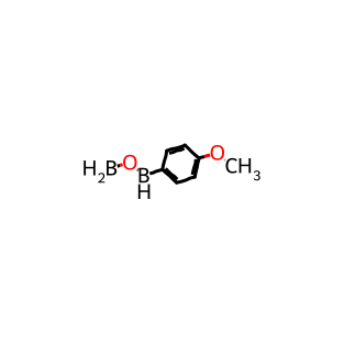 BOBc1ccc(OC)cc1